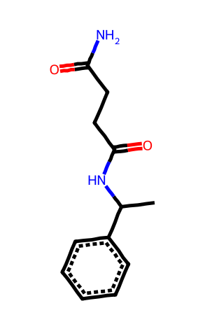 CC(NC(=O)CCC(N)=O)c1ccccc1